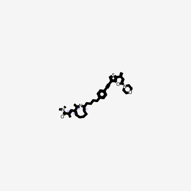 C=C1C=C(N2CCOCC2)Oc2c(C#Cc3ccc(CCCCC4=C/CCC/C=C(/C=C(\C)C(=O)N(C)C)C(\C)=N/4)cc3)csc21